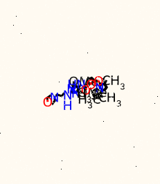 COc1nc(NCCCN2CCOCC2)nc(OC)c1NC(=O)c1ccc(Oc2nc([Si](C)(C)C)ccc2C)o1